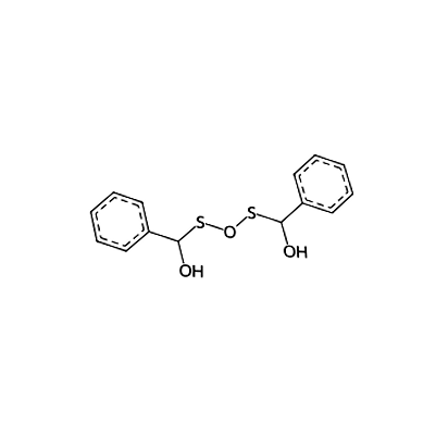 OC(SOSC(O)c1ccccc1)c1ccccc1